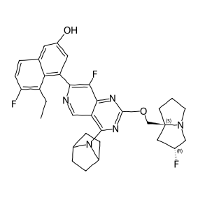 CCc1c(F)ccc2cc(O)cc(-c3ncc4c(N5C6CCC5CC6)nc(OC[C@@]56CCCN5C[C@H](F)C6)nc4c3F)c12